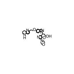 O=C(O)CC(c1cncc(N2CCOCC2)c1)n1ncc2cc(OCCc3ccc4c(n3)CCCN4)ccc21